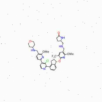 COc1nc(-c2ccnc(-c3cccc4c3CC[C@@H]4Oc3nc(OC)c(CNC[C@H]4CCC(=O)N4)cc3C(F)(F)F)c2Cl)ccc1CNC1CCOCC1